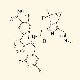 C/N=C/c1nn(CC(=O)N[C@@H](Cc2cc(F)cc(F)c2)c2ncccc2-c2ccc(F)c(C(N)=O)c2)c2c1C1CC1C2(F)F